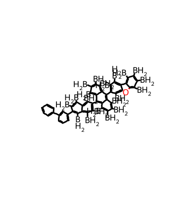 Bc1c(B)c(B)c2c(oc3c(B)c(-c4c5c(B)c(B)c(B)c(B)c5c(-c5c(B)c(B)c6c(B)c(-c7cccc(-c8ccccc8)c7)c(B)c(B)c6c5B)c5c(B)c(B)c(B)c(B)c45)c(B)c(B)c32)c1B